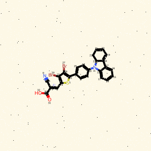 N#C/C(=C\c1sc(-c2ccc(N3c4ccccc4C4=CC=CCC43)cc2)c(Br)c1Br)C(=O)O